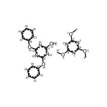 COc1nc(OC)nc(OC)n1.Oc1nc(Oc2ccccc2)nc(Oc2ccccc2)n1